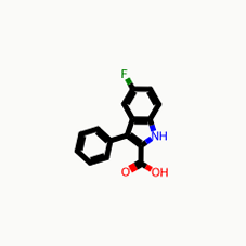 O=C(O)c1[nH]c2ccc(F)cc2c1-c1ccccc1